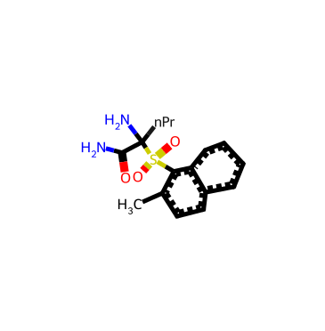 CCCC(N)(C(N)=O)S(=O)(=O)c1c(C)ccc2ccccc12